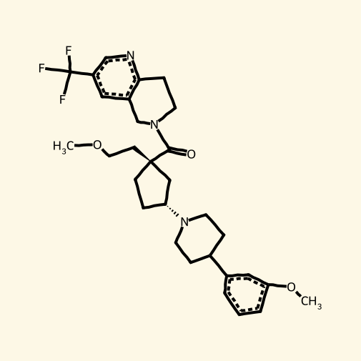 COCC[C@]1(C(=O)N2CCc3ncc(C(F)(F)F)cc3C2)CC[C@@H](N2CCC(c3cccc(OC)c3)CC2)C1